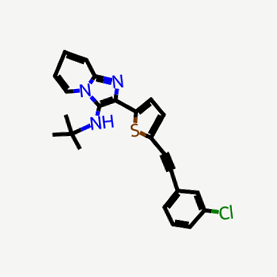 CC(C)(C)Nc1c(-c2ccc(C#Cc3cccc(Cl)c3)s2)nc2ccccn12